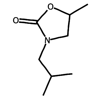 CC(C)CN1CC(C)OC1=O